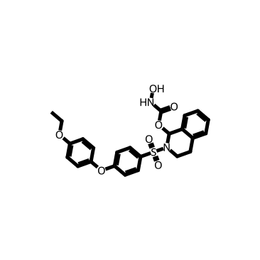 CCOc1ccc(Oc2ccc(S(=O)(=O)N3CCc4ccccc4C3OC(=O)NO)cc2)cc1